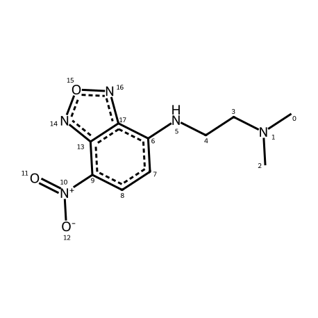 CN(C)CCNc1ccc([N+](=O)[O-])c2nonc12